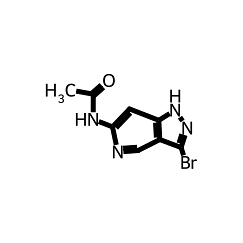 CC(=O)Nc1cc2[nH]nc(Br)c2cn1